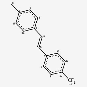 Cc1ccc(/C=C/c2ccc(C(F)(F)F)cc2)cc1